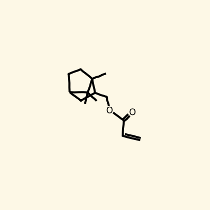 C=CC(=O)OCC1CC2CCC1(C)C2(C)C